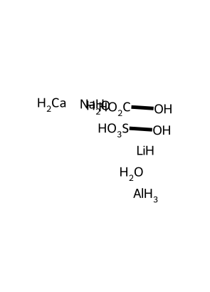 O.O.O=C(O)O.O=S(=O)(O)O.[AlH3].[CaH2].[LiH].[NaH]